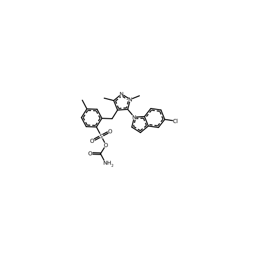 Cc1ccc(S(=O)(=O)OC(N)=O)c(Cc2c(C)nn(C)c2-n2ccc3cc(Cl)ccc32)c1